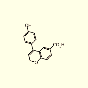 O=C(O)c1ccc2c(c1)C(c1ccc(O)cc1)=CCO2